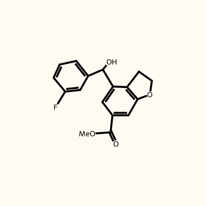 COC(=O)c1cc2c(c(C(O)c3cccc(F)c3)c1)CCO2